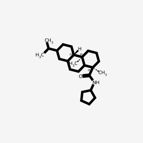 CC(C)C1CC[C@H]2C(CCC3[C@](C)(C(=O)NC4CCCC4)CCC[C@@]32C)C1